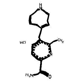 Cc1nc(C(N)=O)ccc1C1=CCNCC1.Cl